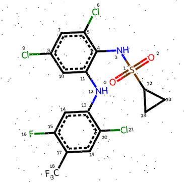 O=S(=O)(Nc1c(Cl)cc(Cl)cc1Nc1cc(F)c(C(F)(F)F)cc1Cl)C1CC1